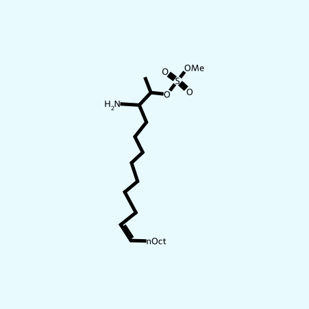 CCCCCCCC/C=C\CCCCCCCC(N)C(C)OS(=O)(=O)OC